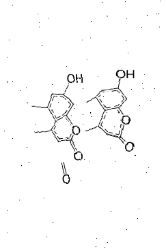 C=O.Cc1cc(O)cc2oc(=O)cc(C)c12.Cc1cc(O)cc2oc(=O)cc(C)c12